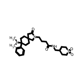 CN(C)C1(c2ccccc2)CCC2(CC1)CC(=O)N(CCCC(=O)NCC1CCS(=O)(=O)CC1)C2